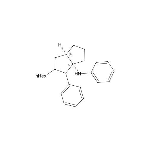 CCCCCCC1C[C@H]2CCC[C@@]2(Nc2ccccc2)C1c1ccccc1